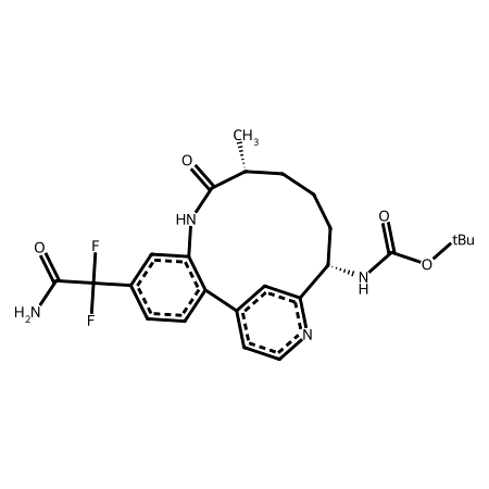 C[C@@H]1CCC[C@H](NC(=O)OC(C)(C)C)c2cc(ccn2)-c2ccc(C(F)(F)C(N)=O)cc2NC1=O